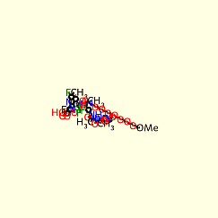 CC[C@@]1(O)C(=O)OCc2c1cc1n(c2=O)Cc2c-1nc1cc(F)c(C)c3c1c2[C@@H](N(CC(F)(F)C(F)F)C(=O)OC(C(=O)N(C)CCOCCOCCOCCOCCOCCOCCOCCOC)c1ccc(NC(=O)[C@H](C)NC(=O)[C@H](C)NC(=O)CCN2C(=O)C=CC2=O)cc1)CC3